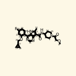 COCC(=O)N1CCC(NC(=O)c2c(C)[nH]c3c(-c4ccc(F)cc4OCC4CC4)ncnc23)CC1